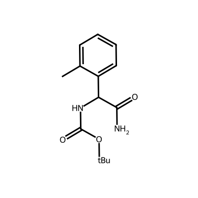 Cc1ccccc1C(NC(=O)OC(C)(C)C)C(N)=O